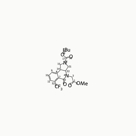 COC(=O)CN1C(=O)c2c(cccc2C(F)(F)F)C2CN(C(=O)OC(C)(C)C)CC21